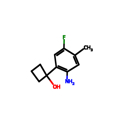 Cc1cc(N)c(C2(O)CCC2)cc1F